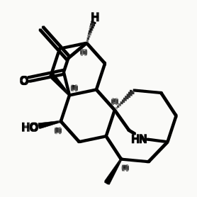 C=C1C(=O)[C@]23CC[C@H]1CC2[C@]12CCCC(C[C@@H](C)C1C[C@H]3O)NC2